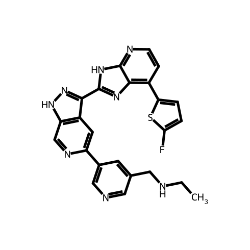 CCNCc1cncc(-c2cc3c(-c4nc5c(-c6ccc(F)s6)ccnc5[nH]4)n[nH]c3cn2)c1